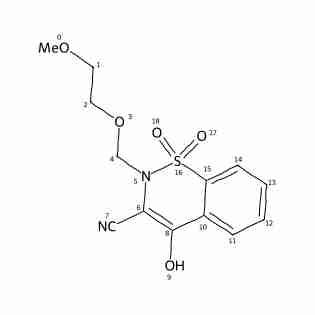 COCCOCN1C(C#N)=C(O)c2ccccc2S1(=O)=O